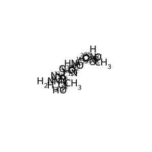 CC(C)(CO)n1cc(C(=O)c2cncc(NC(=O)Cc3ccc(NS(C)(=O)=O)cc3)c2)c2cnc(N)nc21